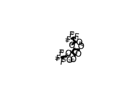 O=C1OC(=O)[C@H](OC(=O)C(F)(F)F)[C@H]1OC(=O)C(F)(F)F